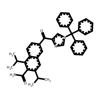 CC(C)c1cc2cc(C(=O)c3cn(C(c4ccccc4)(c4ccccc4)c4ccccc4)cn3)ccc2c(C(C)C)c1C(N)=O